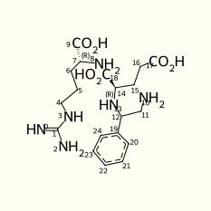 N=C(N)NCCC[C@@H](N)C(=O)O.NCC(N[C@H](CCC(=O)O)C(=O)O)c1ccccc1